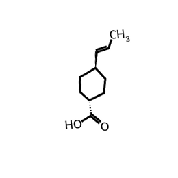 CC=C[C@H]1CC[C@H](C(=O)O)CC1